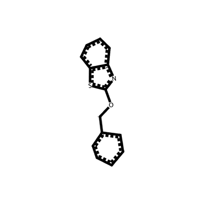 [CH](Oc1nc2ccccc2s1)c1ccccc1